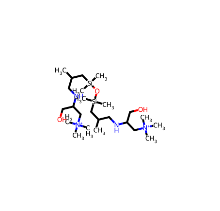 CC(CNC(CO)C[N+](C)(C)C)C[Si](C)(C)O[Si](C)(C)CC(C)CNC(CO)C[N+](C)(C)C